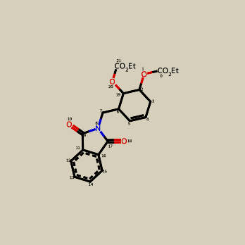 CCOC(=O)OC1CC=CC(CN2C(=O)c3ccccc3C2=O)C1OC(=O)OCC